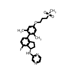 Cc1cc(OCCCS(C)(=O)=O)cc(C)c1-c1ccc(F)c2c1CC[C@H]2Nc1cnccn1